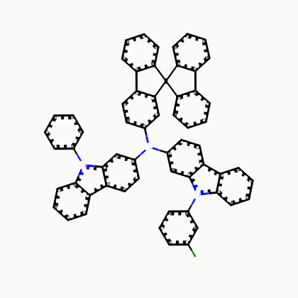 Fc1cccc(-n2c3ccccc3c3ccc(N(c4ccc5c(c4)C4(c6ccccc6-c6ccccc64)c4ccccc4-5)c4ccc5c6ccccc6n(-c6ccccc6)c5c4)cc32)c1